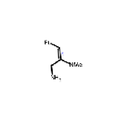 CC/C=C(\CN)NC